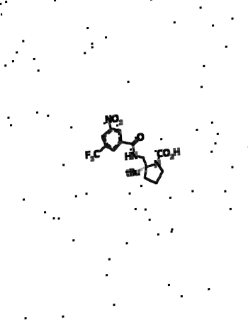 CC(C)(C)[C@@]1(CNC(=O)c2cc([N+](=O)[O-])cc(C(F)(F)F)c2)CCCN1C(=O)O